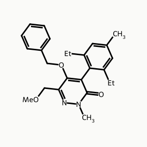 CCc1cc(C)cc(CC)c1-c1c(OCc2ccccc2)c(COC)nn(C)c1=O